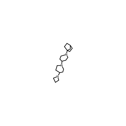 C1CN(C2CCN(C3CCN(C45CCC(CC4)C5)CC3)CC2)C1